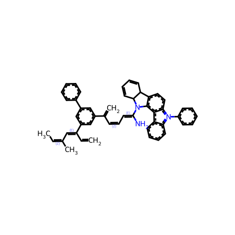 C=C/C(=C\C(C)=C/C)c1cc(C(=C)/C=C\C=C(/N)N2c3c(ccc4c3c3ccccc3n4-c3ccccc3)C3C=CC=CC32)cc(-c2ccccc2)c1